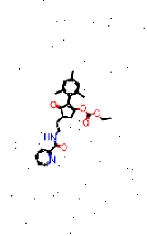 CCOC(=O)OC1=C(c2c(C)cc(C)cc2C)C(=O)C(CCNC(=O)c2ccccn2)C1